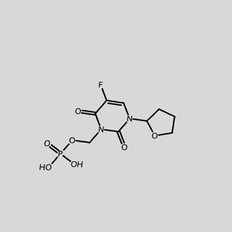 O=c1c(F)cn(C2CCCO2)c(=O)n1COP(=O)(O)O